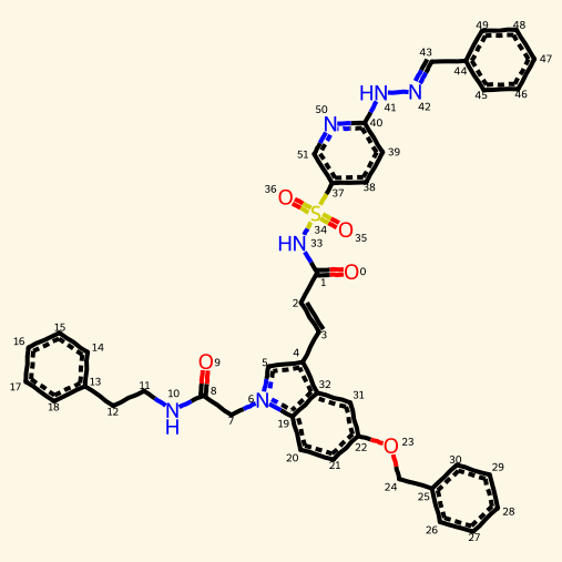 O=C(C=Cc1cn(CC(=O)NCCc2ccccc2)c2ccc(OCc3ccccc3)cc12)NS(=O)(=O)c1ccc(NN=Cc2ccccc2)nc1